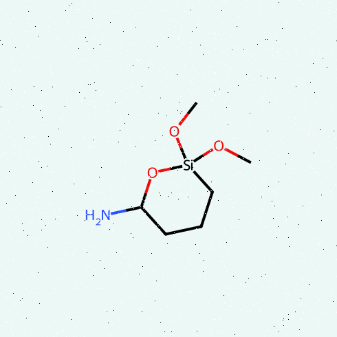 CO[Si]1(OC)CCCC(N)O1